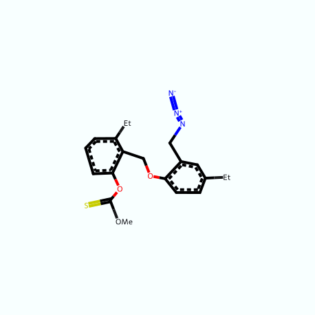 CCc1ccc(OCc2c(CC)cccc2OC(=S)OC)c(CN=[N+]=[N-])c1